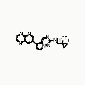 FC(F)(F)C1(CNc2ncc3c(-c4cnc5nccnc5c4)ccn3n2)CC1